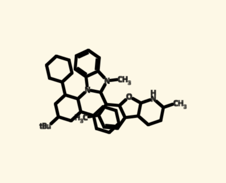 CC1CCC2C(N1)OC1C2C=CC(C)C1C1N(C)c2ccccc2N1C1C(C2CCCCC2)CC(C(C)(C)C)CC1C1CCCCC1